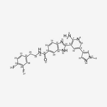 Cn1cc(-c2cnc(N)c(-c3nc4ccc(C(=O)NCCc5ccc(F)c(F)c5)cc4[nH]3)c2)cn1